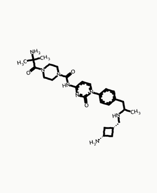 CC(Cc1ccc(-n2ccc(NC(=O)N3CCN(C(=O)C(C)(C)N)CC3)nc2=O)cc1)NC[C@H]1C[C@@H](N)C1